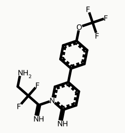 N=C(n1cc(-c2ccc(OC(F)(F)F)cc2)ccc1=N)C(F)(F)CN